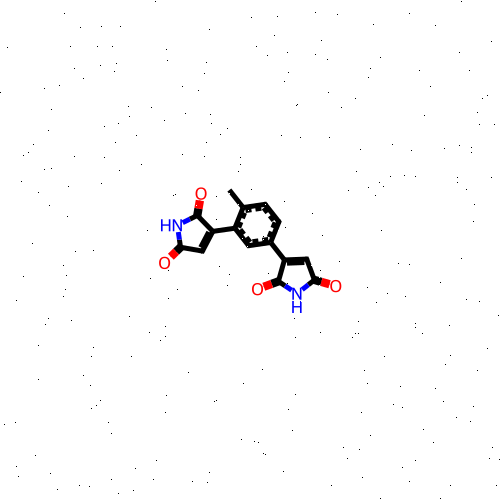 Cc1ccc(C2=CC(=O)NC2=O)cc1C1=CC(=O)NC1=O